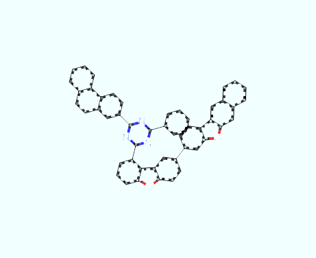 c1ccc(-c2nc(-c3ccc4c(ccc5ccccc54)c3)nc(-c3cccc4oc5ccc(-c6ccc7c(c6)oc6cc8ccccc8cc67)cc5c34)n2)cc1